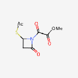 COC(=O)C(=O)N1C(=O)CC1SC(C)=O